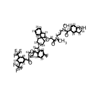 CN(CCCN(C)C(=O)c1ccc2c(c1)CCN2)C(=O)CO[C@H]1Cc2ccccc2C12CCN(CC[C@]1(c3ccc(F)cc3)CN(C(=O)c3cc(C(F)(F)F)cc(C(F)(F)F)c3)CO1)CC2